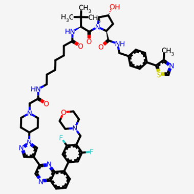 Cc1ncsc1-c1ccc(CNC(=O)[C@@H]2C[C@@H](O)CN2C(=O)[C@@H](NC(=O)CCCCCCNC(=O)CN2CCC(n3cc(-c4cnc5cccc(-c6cc(F)c(CN7CCOCC7)c(F)c6)c5n4)cn3)CC2)C(C)(C)C)cc1